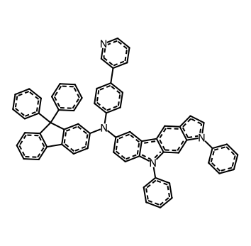 c1ccc(-n2ccc3cc4c5cc(N(c6ccc(-c7cccnc7)cc6)c6ccc7c(c6)C(c6ccccc6)(c6ccccc6)c6ccccc6-7)ccc5n(-c5ccccc5)c4cc32)cc1